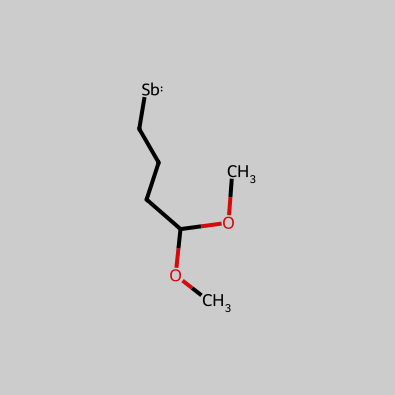 COC(CC[CH2][Sb])OC